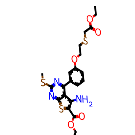 CCOC(=O)CSCCOc1cccc(-c2nc(SC)nc3sc(C(=O)OCC)c(N)c23)c1